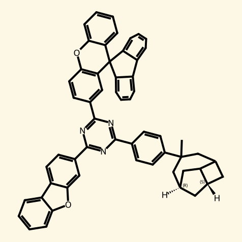 CC1(c2ccc(-c3nc(-c4ccc5c(c4)C4(c6ccccc6O5)c5ccccc5-c5ccccc54)nc(-c4ccc5c(c4)oc4ccccc45)n3)cc2)CC2C[C@@H]3C[C@H](CC23)C1